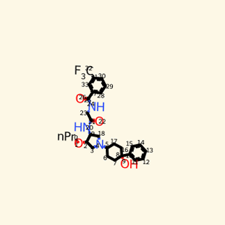 CCCOC1CN(C2CCC(O)(c3ccccc3)CC2)CC1NC(=O)CNC(=O)c1cccc(C(F)(F)F)c1